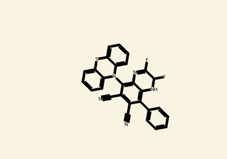 N#Cc1c(C#N)c(N2c3ccccc3Sc3ccccc32)c2c(c1-c1ccccc1)NC(F)C(F)=N2